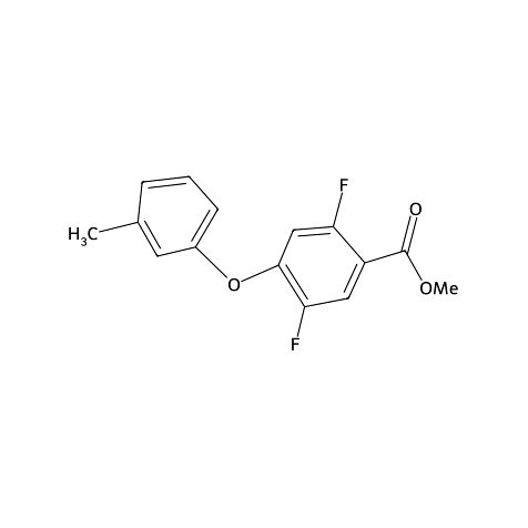 COC(=O)c1cc(F)c(Oc2cccc(C)c2)cc1F